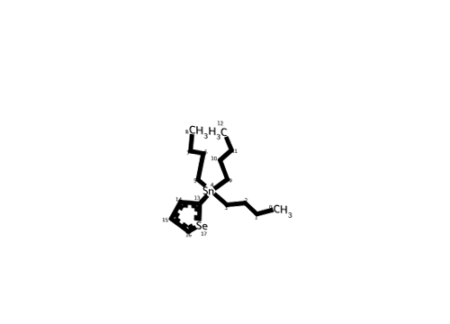 CCC[CH2][Sn]([CH2]CCC)([CH2]CCC)[c]1ccc[se]1